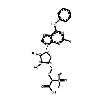 O=C(O)C(OC[C@H]1O[C@@H](n2cnc3c(Nc4ccccc4)nc(I)nc32)[C@H](O)[C@@H]1O)P(=O)(O)O